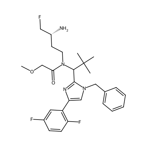 COCC(=O)N(CC[C@@H](N)CF)C(c1nc(-c2cc(F)ccc2F)cn1Cc1ccccc1)C(C)(C)C